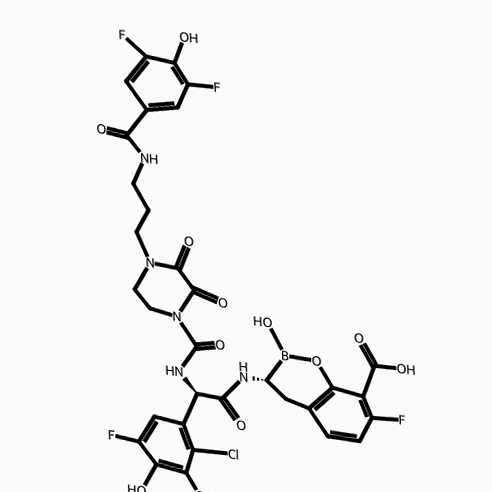 O=C(NCCCN1CCN(C(=O)N[C@@H](C(=O)N[C@H]2Cc3ccc(F)c(C(=O)O)c3OB2O)c2cc(F)c(O)c(O)c2Cl)C(=O)C1=O)c1cc(F)c(O)c(F)c1